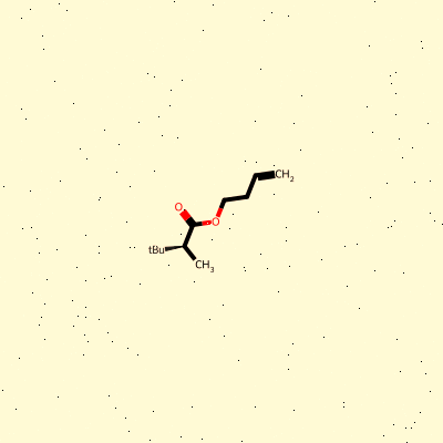 C=CCCOC(=O)[C@@H](C)C(C)(C)C